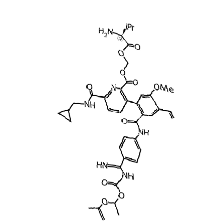 C=Cc1cc(C(=O)Nc2ccc(C(=N)NC(=O)OC(C)OC(=C)C)cc2)c(-c2ccc(C(=O)NCC3CC3)nc2C(=O)OCOC(=O)[C@@H](N)C(C)C)cc1OC